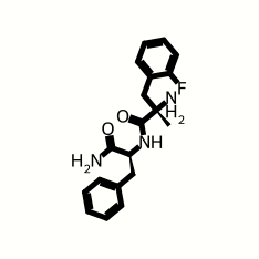 C[C@](N)(Cc1ccccc1F)C(=O)N[C@@H](Cc1ccccc1)C(N)=O